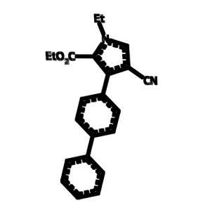 CCOC(=O)c1c(-c2ccc(-c3ccccc3)cc2)c(C#N)cn1CC